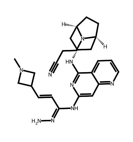 CN1CC(/C=C/C(=N\N)Nc2cc3ncccc3c(N[C@@H]3C[C@H]4CC[C@@H](C3)N4CCC#N)n2)C1